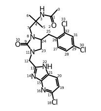 CC(=O)NC(C)(C)CN1C(=O)N(Cc2nc3nc(Cl)ccc3[nH]2)CC1Cc1ccc(Cl)cc1Cl